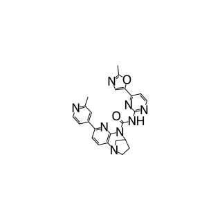 Cc1cc(-c2ccc3c(n2)N(C(=O)Nc2nccc(-c4cnc(C)o4)n2)C2CCN3C2)ccn1